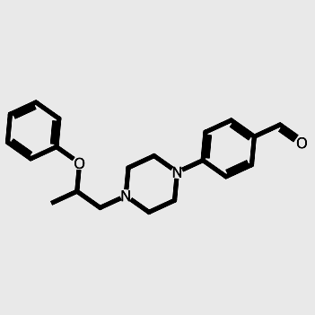 CC(CN1CCN(c2ccc(C=O)cc2)CC1)Oc1ccccc1